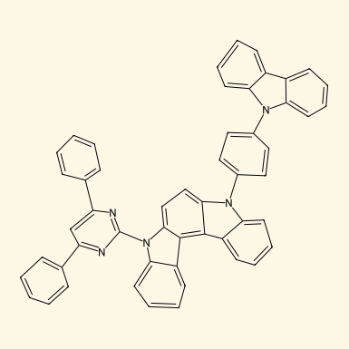 c1ccc(-c2cc(-c3ccccc3)nc(-n3c4ccccc4c4c5c6ccccc6n(-c6ccc(-n7c8ccccc8c8ccccc87)cc6)c5ccc43)n2)cc1